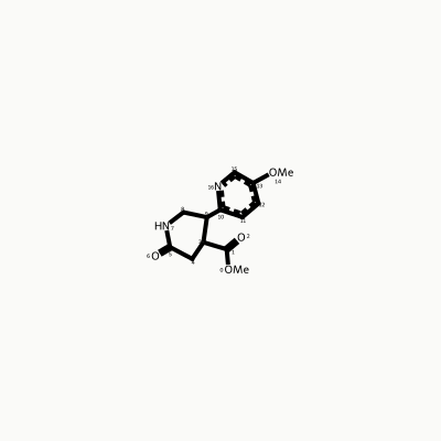 COC(=O)C1CC(=O)NCC1c1ccc(OC)cn1